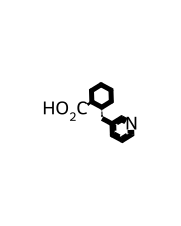 O=C(O)[C@H]1CCCC[C@@H]1Cc1cccnc1